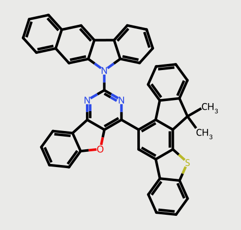 CC1(C)c2ccccc2-c2c(-c3nc(-n4c5ccccc5c5cc6ccccc6cc54)nc4c3oc3ccccc34)cc3c(sc4ccccc43)c21